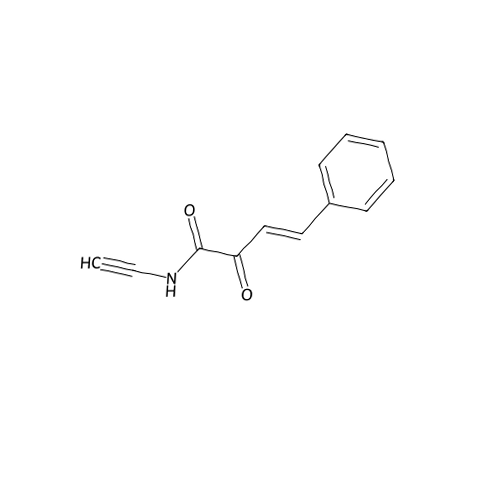 C#CNC(=O)C(=O)/C=C/c1ccccc1